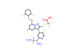 Cc1cc(OCc2c(F)cccc2F)n2nc(C)c(-c3cc(C(N)C(C)(C)N)ncc3F)c2c1.O=C(O)C(F)(F)F